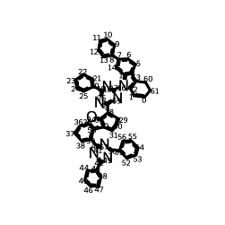 C1=Cc2c(c3ccc(-c4ccccc4)cc3n2-c2nc(-c3ccccc3)nc(-c3cccc4c3oc3cccc(-c5nc(-c6ccccc6)nc(-c6ccccc6)n5)c34)n2)CC1